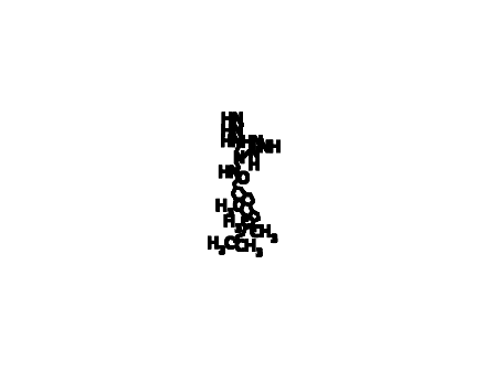 CC(C)CCCC(C)C1CCC2C3CC=C4CC(CC(=O)NCCN(CCNCNC=N)CCNC5NCN5)CCC4(C)C3CCC12C